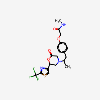 CNC(=O)COc1ccc(CC(C)N2CC(=O)OC(c3csc(C(F)(F)F)n3)C2)cc1